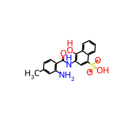 Cc1ccc(C(=O)Nc2cc(S(=O)(=O)O)c3ccccc3c2O)c(N)c1